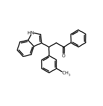 Cc1cccc(C(CC(=O)c2ccccc2)c2c[nH]c3ccccc23)c1